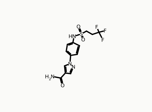 NC(=O)c1cnn(-c2ccc(NS(=O)(=O)CCC(F)(F)F)cc2)c1